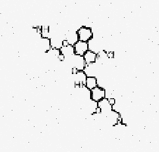 CNCCN(C)C(=O)Oc1cc2c(c3ccccc13)[C@H](CCl)CN2C(=O)C1Cc2cc(OCCN(C)C)c(OC)cc2N1